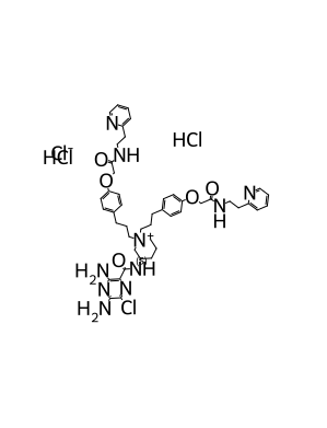 Cl.Cl.Nc1nc(N)c(C(=O)N[C@H]2CCC[N+](CCCc3ccc(OCC(=O)NCCc4ccccn4)cc3)(CCCc3ccc(OCC(=O)NCCc4ccccn4)cc3)C2)nc1Cl.[Cl-]